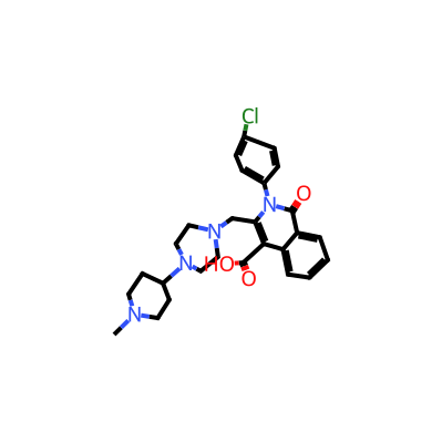 CN1CCC(N2CCN(Cc3c(C(=O)O)c4ccccc4c(=O)n3-c3ccc(Cl)cc3)CC2)CC1